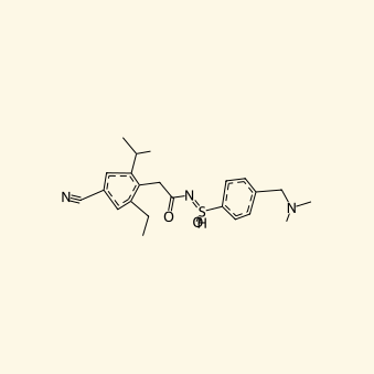 CCc1cc(C#N)cc(C(C)C)c1CC(=O)/N=[SH](=O)/c1ccc(CN(C)C)cc1